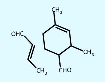 CC1=CC(C)C(C=O)CC1.CC=CC=O